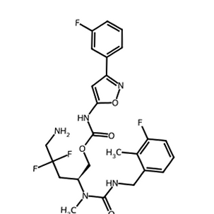 Cc1c(F)cccc1CNC(=O)N(C)[C@H](COC(=O)Nc1cc(-c2cccc(F)c2)no1)CC(F)(F)CN